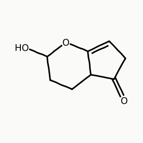 O=C1CC=C2OC(O)CCC12